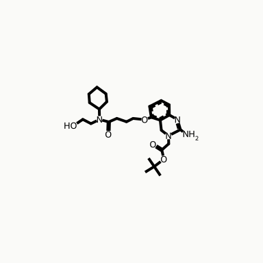 CC(C)(C)OC(=O)CN1Cc2c(cccc2OCCCC(=O)N(CCO)C2CCCCC2)N=C1N